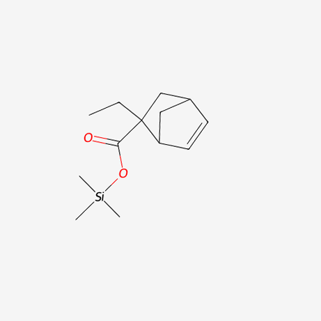 CCC1(C(=O)O[Si](C)(C)C)CC2C=CC1C2